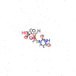 O=C(O)C(OC1CC1n1ccc(=O)[nH]c1=O)P(=O)(O)O